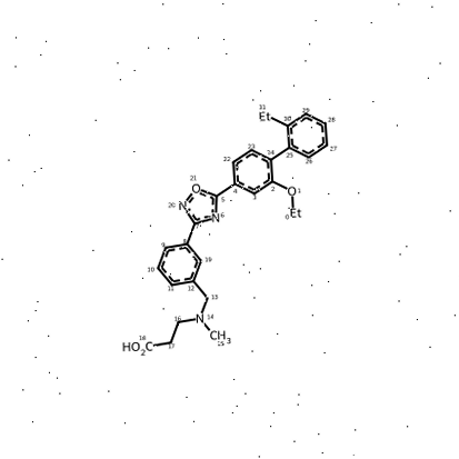 CCOc1cc(-c2nc(-c3cccc(CN(C)CCC(=O)O)c3)no2)ccc1-c1ccccc1CC